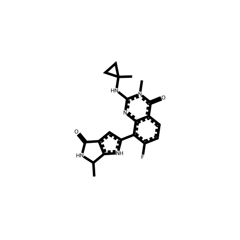 CC1NC(=O)c2cc(-c3c(F)ccc4c(=O)n(C)c(NC5(C)CC5)nc34)[nH]c21